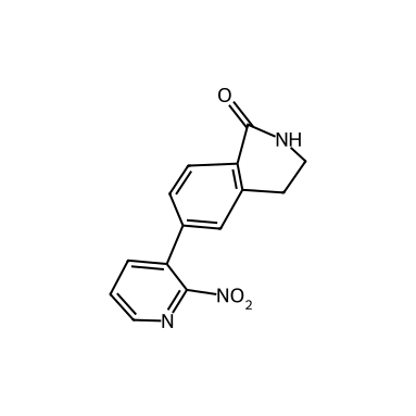 O=C1NCCc2cc(-c3cccnc3[N+](=O)[O-])ccc21